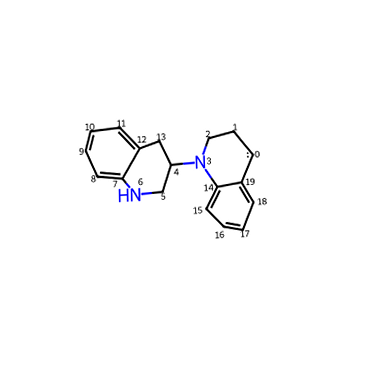 [C]1CCN(C2CNc3ccccc3C2)c2ccccc21